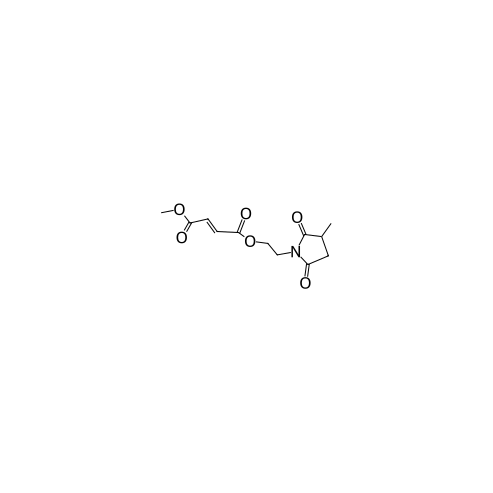 COC(=O)/C=C/C(=O)OCCN1C(=O)CC(C)C1=O